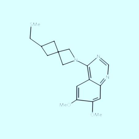 COc1cc2ncnc(N3CC4(CC(CSC)C4)C3)c2cc1OC